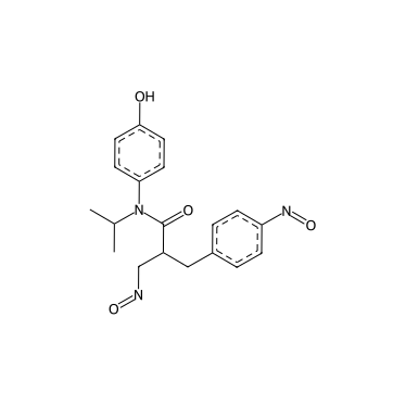 CC(C)N(C(=O)C(CN=O)Cc1ccc(N=O)cc1)c1ccc(O)cc1